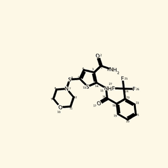 NC(=O)c1cc(SN2CCOCC2)sc1NC(=O)c1ccccc1C(F)(F)F